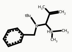 C=C(C)C(N(Cc1ccccc1)C(C)(C)C)[SiH](C)C